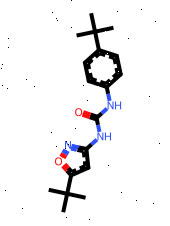 CC(C)(C)c1ccc(NC(=O)Nc2cc(C(C)(C)C)on2)cc1